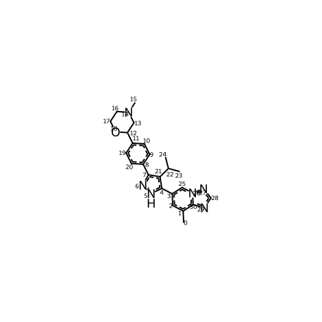 Cc1cc(-c2[nH]nc(-c3ccc(C4CN(C)CCO4)cc3)c2C(C)C)cn2ncnc12